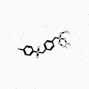 CO[Si](Cc1ccc(CS(=O)(=O)c2ccc(F)cc2)cc1)(OC)OC